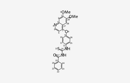 COc1cc2nccc(Oc3ccc(NC(=S)NC(=O)c4ccccc4)cc3)c2cc1OC